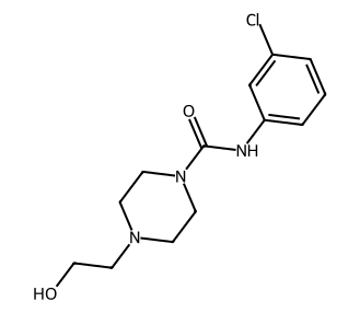 O=C(Nc1cccc(Cl)c1)N1CCN(CCO)CC1